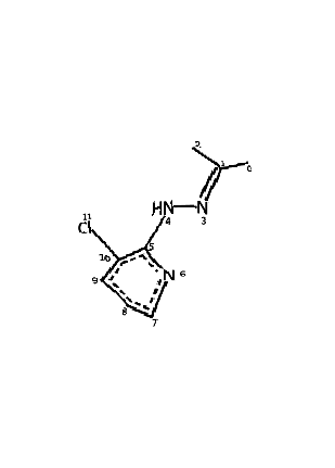 CC(C)=NNc1ncccc1Cl